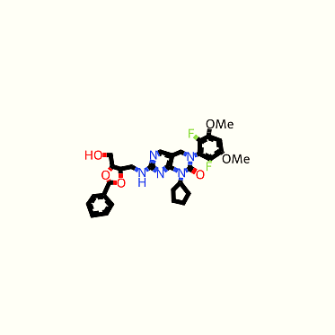 COc1cc(OC)c(F)c(N2Cc3cnc(NCC4OC(c5ccccc5)OC4CO)nc3N(C3CCCC3)C2=O)c1F